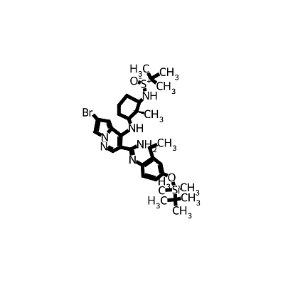 CCc1cc(O[Si](C)(C)C(C)(C)C)ccc1/N=C(\N)c1cnn2cc(Br)cc2c1NC1CCCC(N[S+]([O-])C(C)(C)C)[C@H]1C